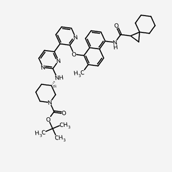 Cc1ccc2c(NC(=O)C3CC34CCCCC4)cccc2c1Oc1ncccc1-c1ccnc(N[C@H]2CCCN(C(=O)OC(C)(C)C)C2)n1